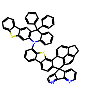 c1ccc(C2(c3ccccc3)c3ccccc3N(c3cccc4c3sc3c5c(ccc34)C3(c4cccnc4-c4ncccc43)c3ccc4c6c(ccc-5c36)CC4)c3cc4sc5ccccc5c4cc32)cc1